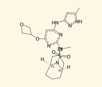 CCS(=O)(=O)N1[C@@H]2CCC[C@H]1CC(N(C)c1nc(Nc3cc(C)[nH]n3)cc(OC3COC3)n1)C2